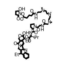 CCc1c2c(nc3ccccc13)-c1cc3c(c(=O)n1C2)COC(=O)[C@@]3(CC)OC(=O)[C@@H](NC(=O)[C@@H]1CCCN1C(=O)CNC(=O)CN(C)CCN(C)CCN(C)CCNC(=O)CCCC(=O)ON1C(=O)CCC1O)C(C)C